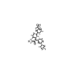 Cc1nc(-c2nccc(N(C(N)=O)c3cc(-c4ccnc(C(C)(C)O)n4)ccc3C)n2)cs1